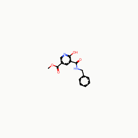 COC(=O)c1cnc(O)c(C(=O)NCc2ccccc2)c1